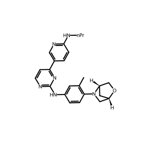 CCCNc1ccc(-c2ccnc(Nc3ccc(N4C[C@@H]5C[C@H]4CO5)c(C)c3)n2)cn1